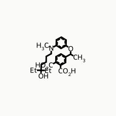 CCC(O)(CC)CCCCN(C)c1cccc(OC(C)c2ccc(C(=O)O)c(C(=O)O)c2)c1